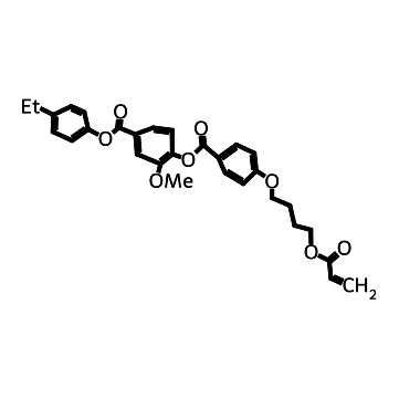 C=CC(=O)OCCCCOc1ccc(C(=O)Oc2ccc(C(=O)Oc3ccc(CC)cc3)cc2OC)cc1